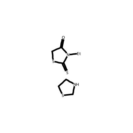 C1CSCN1.CCN1C(=O)CSC1=S